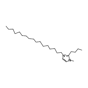 CCCCCCCCCCCCCCCCC[n+]1ccn(C)c1CCCC